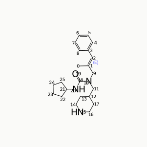 C/C(=C\c1ccccc1)CN(CC1CCNCC1)C(=O)NC1CCCC1